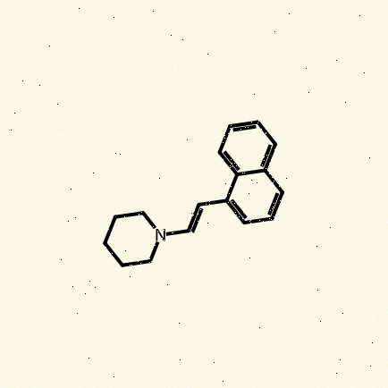 C(=CN1CCCCC1)c1cccc2ccccc12